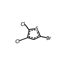 Clc1cc(Br)sc1Cl